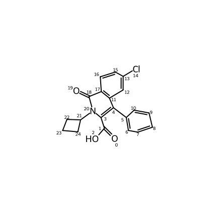 O=C(O)c1c(-c2ccccc2)c2cc(Cl)ccc2c(=O)n1C1CCC1